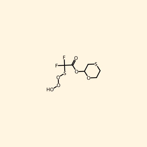 O=C(OC1CSCCO1)C(F)(F)SOOO